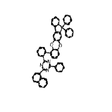 c1ccc(-c2nc(-c3ccccc3-c3cccc4c3Oc3cc5c(cc3O4)C(c3ccccc3)(c3ccccc3)c3ccccc3-5)nc(-c3cccc4ccccc34)n2)cc1